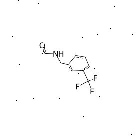 O=[C]NCc1cccc(C(F)(F)F)c1